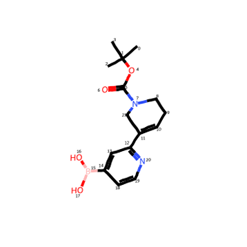 CC(C)(C)OC(=O)N1CCC=C(c2cc(B(O)O)ccn2)C1